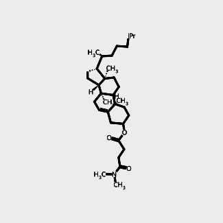 CC(C)CCC[C@H](C)[C@H]1CC[C@@H]2[C@]1(C)CC[C@H]1[C@@]2(C)CC=C2CC(OC(=O)CCC(=O)N(C)C)CC[C@@]21C